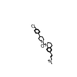 CN(C)CC=Cc1ccc2c(c1)CCCN2C(=O)N1CCC(c2ccc(Cl)cc2)CC1